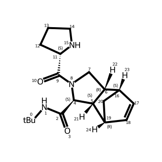 CC(C)(C)NC(=O)[C@@H]1[C@@H]2[C@H](CN1C(=O)[C@@H]1CCCN1)[C@@H]1C=C[C@H]2C1